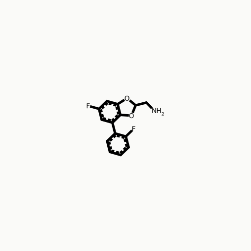 NCC1Oc2cc(F)cc(-c3ccccc3F)c2O1